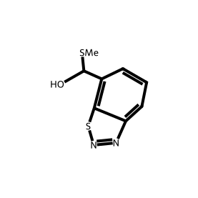 CSC(O)c1cccc2nnsc12